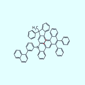 CC1(c2ccccc2)c2ccccc2-c2ccc(N(c3cccc(-c4cccc5ccccc45)c3)c3ccccc3-c3ccc4c(c3)c(-c3ccccc3)c(-c3ccccc3)c3ccccc34)cc21